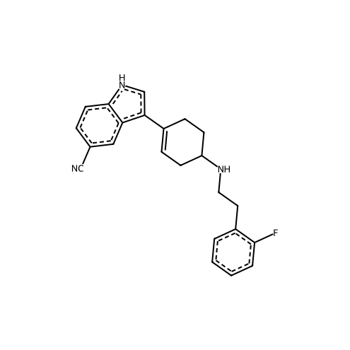 N#Cc1ccc2[nH]cc(C3=CCC(NCCc4ccccc4F)CC3)c2c1